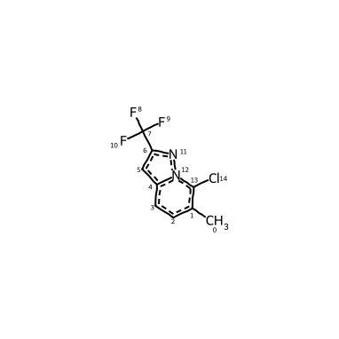 Cc1ccc2cc(C(F)(F)F)nn2c1Cl